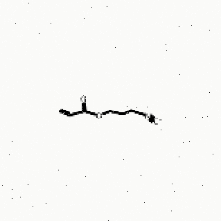 [C-]#[N+]CCCOC(=O)C=C